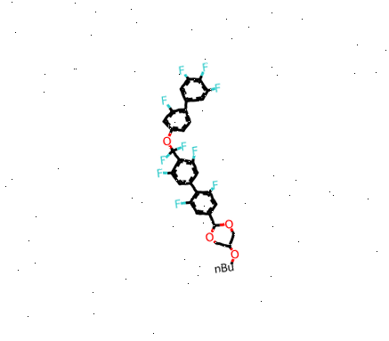 CCCCOC1COC(c2cc(F)c(-c3cc(F)c(C(F)(F)Oc4ccc(-c5cc(F)c(F)c(F)c5)c(F)c4)c(F)c3)c(F)c2)OC1